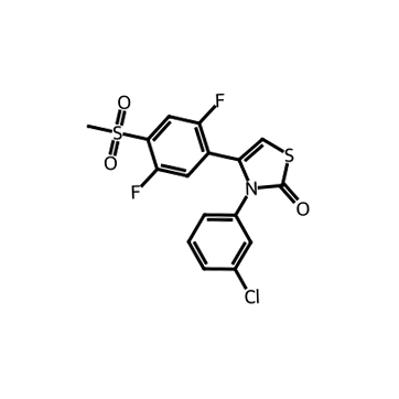 CS(=O)(=O)c1cc(F)c(-c2csc(=O)n2-c2cccc(Cl)c2)cc1F